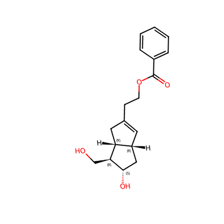 O=C(OCCC1=C[C@@H]2C[C@H](O)[C@@H](CO)[C@@H]2C1)c1ccccc1